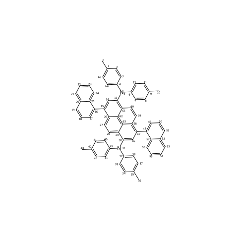 Cc1ccc(N(c2ccc(C)cc2)c2cc(-c3cccc4ccccc34)c3ccc4c(N(c5ccc(C)cc5)c5ccc(C)cc5)cc(-c5cccc6ccccc56)c5ccc2c3c54)cc1